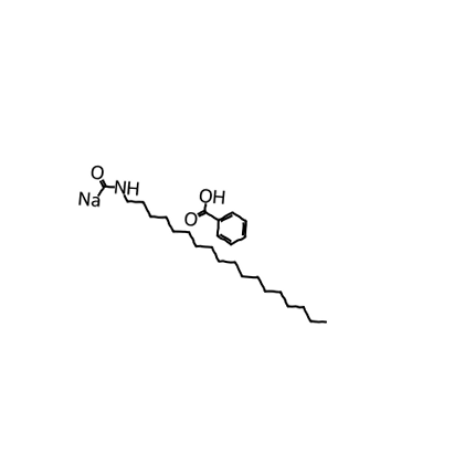 CCCCCCCCCCCCCCCCCCN[C](=O)[Na].O=C(O)c1ccccc1